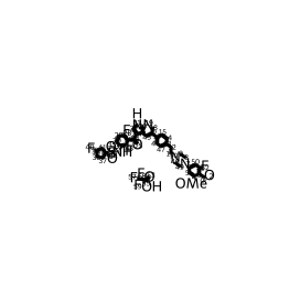 COC(=O)c1ccc(N2CCN(CCc3ccc(-c4cnc5[nH]cc(C(=O)c6c(F)ccc(NS(=O)(=O)N7CC[C@@H](F)C7)c6F)c5c4)cc3)CC2)cc1F.O=C(O)C(F)(F)F